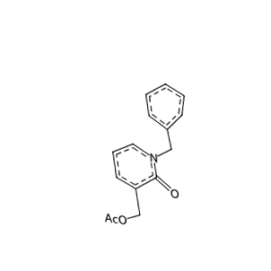 CC(=O)OCc1cccn(Cc2ccccc2)c1=O